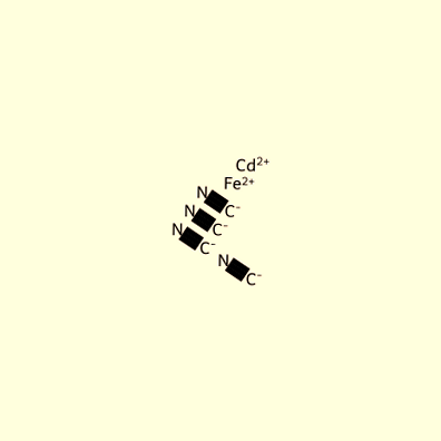 [C-]#N.[C-]#N.[C-]#N.[C-]#N.[Cd+2].[Fe+2]